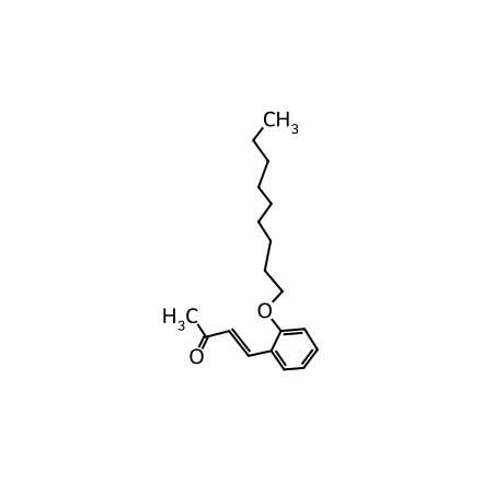 CCCCCCCCCOc1ccccc1C=CC(C)=O